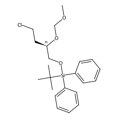 COCO[C@H](CCCl)CO[Si](c1ccccc1)(c1ccccc1)C(C)(C)C